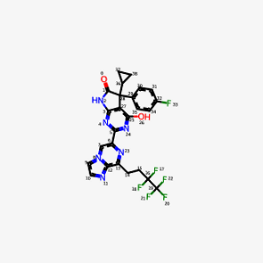 O=C1Nc2nc(-c3cn4ccnc4c(CCC(F)(F)C(F)(F)F)n3)nc(O)c2C1(c1ccc(F)cc1)C1CC1